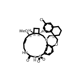 CO[C@@H]1C=CCNC(=O)NS(=O)(=O)c2ccc3c(c2)N(C[C@@H]2CC[C@H]21)C[C@@]1(CCCc2cc(Cl)ccc21)CO3